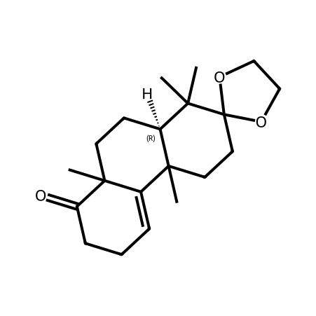 CC12CC[C@@H]3C(C)(CCC4(OCCO4)C3(C)C)C1=CCCC2=O